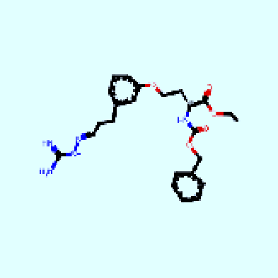 CCOC(=O)[C@H](CCOc1cccc(CCC=NNC(=N)N)c1)NC(=O)OCc1ccccc1